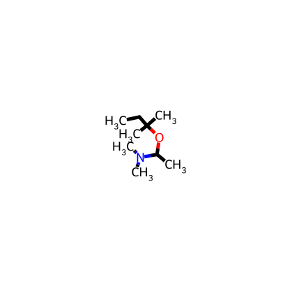 CCC(C)(C)OC(C)N(C)C